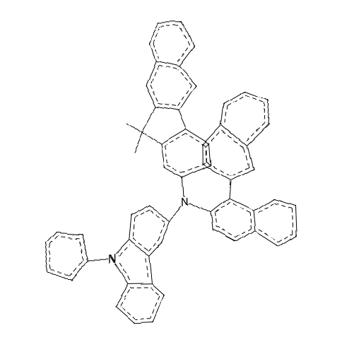 CC1(C)c2cc(N(c3ccc4c(c3)c3ccccc3n4-c3ccccc3)c3ccc4ccccc4c3-c3ccc4ccccc4c3)ccc2-c2cc3ccccc3cc21